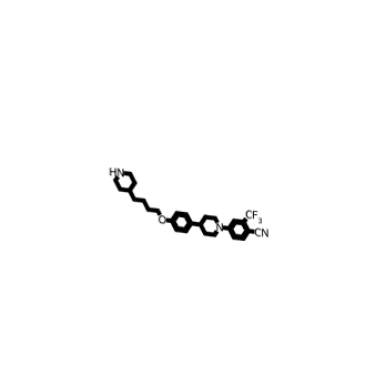 N#Cc1ccc(N2CCC(c3ccc(OCCCCC4CCNCC4)cc3)CC2)cc1C(F)(F)F